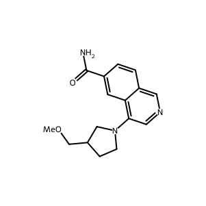 COCC1CCN(c2cncc3ccc(C(N)=O)cc23)C1